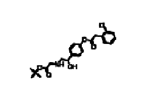 CC(C)(C)OC(=O)CNCC(O)c1ccc(OC(=O)Cc2ccccc2Cl)cc1